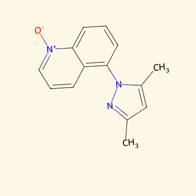 Cc1cc(C)n(-c2cccc3c2ccc[n+]3[O-])n1